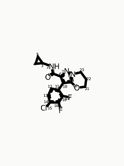 O=C(NC1CC1)c1nn2c(c1-c1ccc(Cl)c(F)c1F)OCCC2